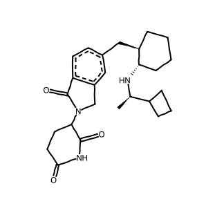 C[C@@H](N[C@H]1CCCC[C@@H]1Cc1ccc2c(c1)CN(C1CCC(=O)NC1=O)C2=O)C1CCC1